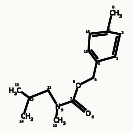 Cc1ccc(COC(=O)N(C)CC(C)C)cc1